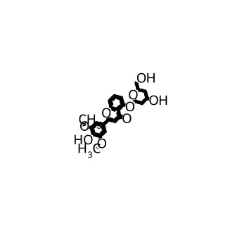 COc1cc(-c2cc(=O)c3c(OC4CC(O)CC(CO)O4)cccc3o2)cc(OC)c1O